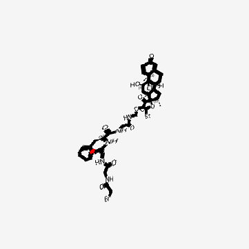 CCC(=O)O[C@]1(C(=O)COCNC(=O)CNC(=O)[C@H](Cc2ccccc2)NC(=O)CNC(=O)CNC(=O)CBr)[C@@H](C)CC2[C@@H]3CCC4=CC(=O)C=C[C@]4(C)[C@@]3(Cl)[C@@H](O)C[C@@]21C